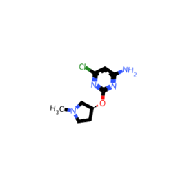 CN1CC[C@@H](Oc2nc(N)cc(Cl)n2)C1